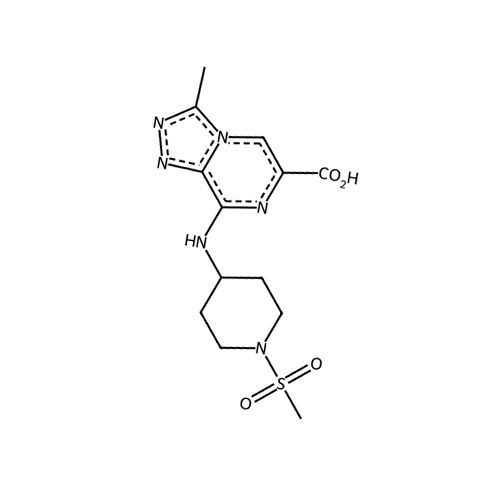 Cc1nnc2c(NC3CCN(S(C)(=O)=O)CC3)nc(C(=O)O)cn12